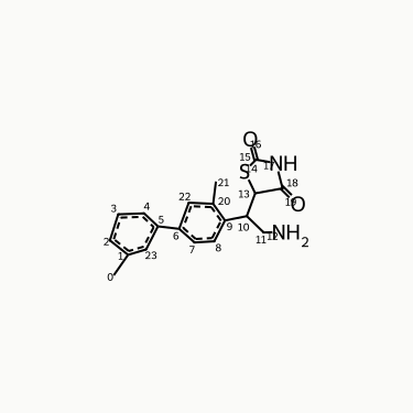 Cc1cccc(-c2ccc(C(CN)C3SC(=O)NC3=O)c(C)c2)c1